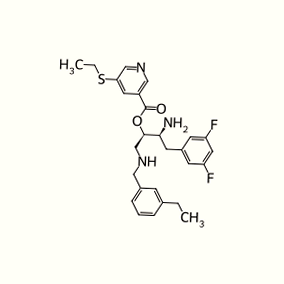 CCSc1cncc(C(=O)O[C@H](CNCc2cccc(CC)c2)[C@@H](N)Cc2cc(F)cc(F)c2)c1